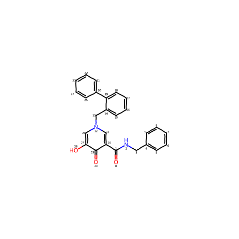 O=C(NCc1ccccc1)c1cn(Cc2ccccc2-c2ccccc2)cc(O)c1=O